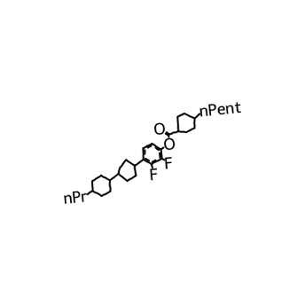 CCCCCC1CCC(C(=O)Oc2ccc(C3CCC(C4CCC(CCC)CC4)CC3)c(F)c2F)CC1